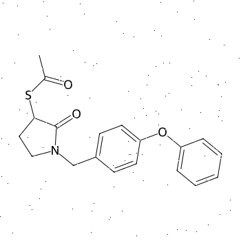 CC(=O)SC1CCN(Cc2ccc(Oc3ccccc3)cc2)C1=O